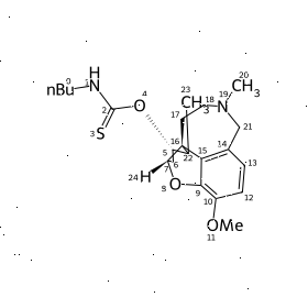 CCCCNC(=S)O[C@H]1C[C@@H]2Oc3c(OC)ccc4c3[C@]2(CCN(C)C4)C1C